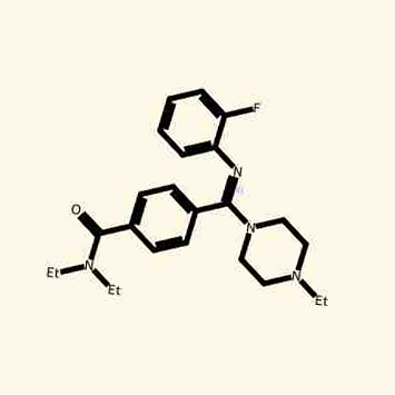 CCN1CCN(/C(=N/c2ccccc2F)c2ccc(C(=O)N(CC)CC)cc2)CC1